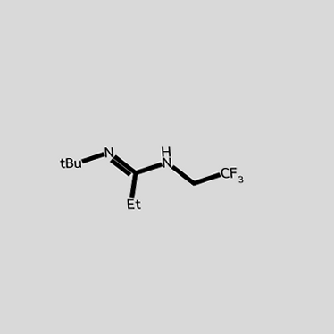 CC/C(=N\C(C)(C)C)NCC(F)(F)F